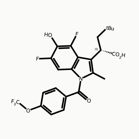 Cc1c([C@H](CC(C)(C)C)C(=O)O)c2c(F)c(O)c(F)cc2n1C(=O)c1ccc(OC(F)(F)F)cc1